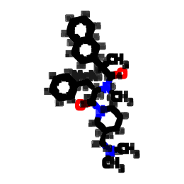 CN[C@@](C)(C(=O)N(C)[C@H](Cc1ccccc1)C(=O)N1CCC[C@@H](CN(C)C)C1)c1ccc2ccccc2c1